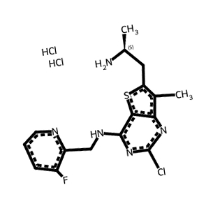 Cc1c(C[C@H](C)N)sc2c(NCc3ncccc3F)nc(Cl)nc12.Cl.Cl